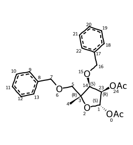 CC(=O)O[C@@H]1O[C@](C)(COCc2ccccc2)[C@@H](OCc2ccccc2)[C@H]1OC(C)=O